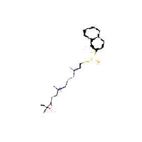 C/C(=C\C[S+]([O-])c1ccc2ccccc2c1)CC/C=C(\C)CCC1OC1(C)C